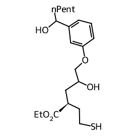 CCCCCC(O)c1cccc(OCC(O)C[C@@H](CCS)C(=O)OCC)c1